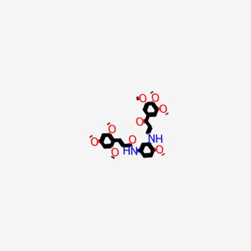 COc1cc(OC)c(C=CC(=O)Nc2ccc(OC)c(NC=CC(=O)c3cc(OC)c(OC)c(OC)c3)c2)c(OC)c1